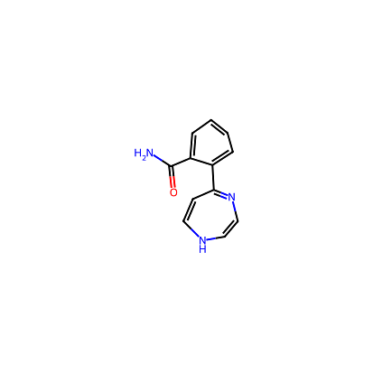 NC(=O)c1ccccc1C1=NC=CNC=C1